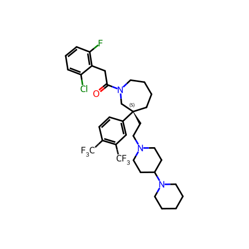 O=C(Cc1c(F)cccc1Cl)N1CCCC[C@](CCN2CCC(N3CCCCC3)CC2)(c2ccc(C(F)(F)F)c(C(F)(F)F)c2)C1